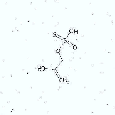 C=C(O)COS(=O)(O)=S